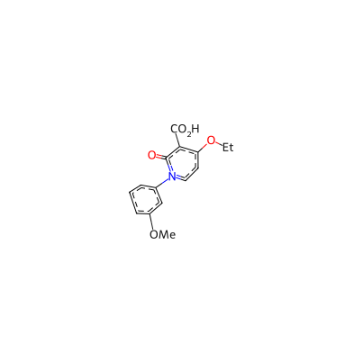 CCOc1ccn(-c2cccc(OC)c2)c(=O)c1C(=O)O